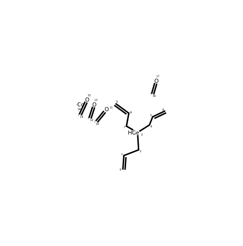 C=C[CH2][GeH]([CH2]C=C)[CH2]C=C.[C]=O.[C]=O.[C]=O.[C]=O.[Co]